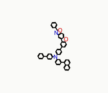 c1ccc(-c2ccc(N(c3ccc(-c4ccc5oc6cc7oc(-c8ccccc8)nc7cc6c5c4)cc3)c3cccc(-c4cccc5ccccc45)c3)cc2)cc1